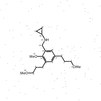 COCCCc1cc(CCCOC)c(OC)c(CNC2CC2)c1